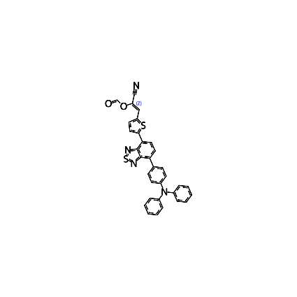 N#C/C(=C/c1ccc(-c2ccc(-c3ccc(N(c4ccccc4)c4ccccc4)cc3)c3nsnc23)s1)OC=O